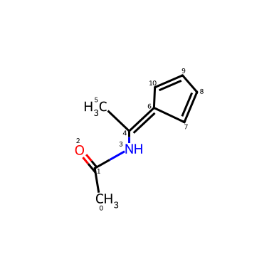 CC(=O)NC(C)=C1C=CC=C1